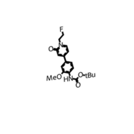 COc1cc(-c2ccn(CCF)c(=O)c2)ccc1NC(=O)OC(C)(C)C